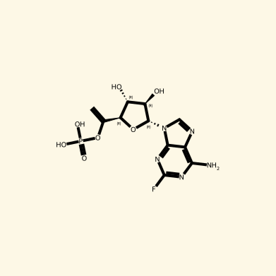 C=C(OP(=O)(O)O)[C@@H]1O[C@@H](n2cnc3c(N)nc(F)nc32)[C@H](O)[C@H]1O